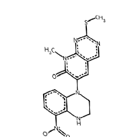 CSc1ncc2cc(N3CCNc4c3cccc4[N+](=O)[O-])c(=O)n(C)c2n1